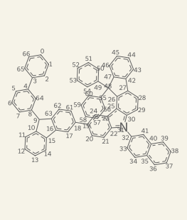 c1ccc(-c2cccc(C3c4ccccc4-c4cc(-c5ccc6c(c5)c5c7c(ccc5n6-c5ccc6ccccc6c5)-c5ccccc5C7(c5ccccc5)c5ccccc5)ccc43)c2)cc1